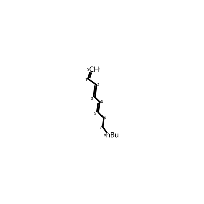 [CH]=CC=CC=CCCCCC[CH2]